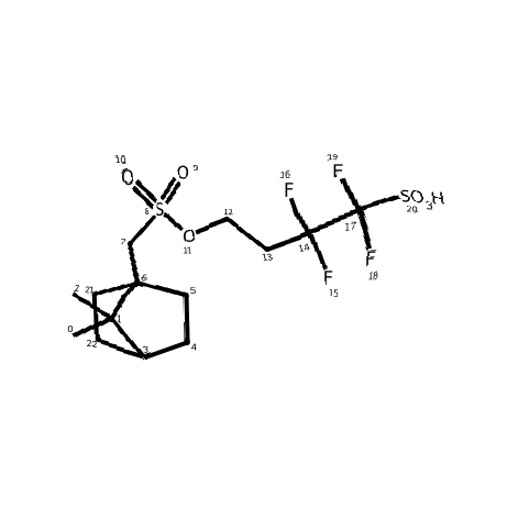 CC1(C)C2CCC1(CS(=O)(=O)OCCC(F)(F)C(F)(F)S(=O)(=O)O)CC2